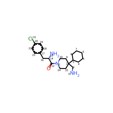 NCC1(C2CCCCC2)CCN(C(=O)[C@H](N)Cc2ccc(Cl)cc2)CC1